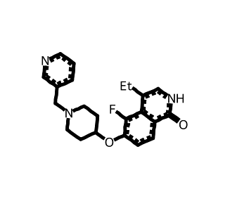 CCc1c[nH]c(=O)c2ccc(OC3CCN(Cc4cccnc4)CC3)c(F)c12